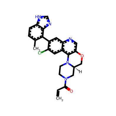 C=CC(=O)N1CCN2c3c(cnc4cc(-c5c(C)ccc6[nH]cnc56)c(Cl)cc34)OC[C@H]2C1